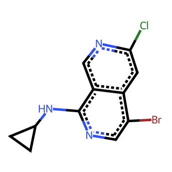 Clc1cc2c(Br)cnc(NC3CC3)c2cn1